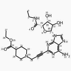 CCNC(=O)[C@H]1O[C@@H](n2cnc3c(N)nc(C#CCN4CCC(C(=O)OCC)CC4)nc32)C(O)[C@H]1O